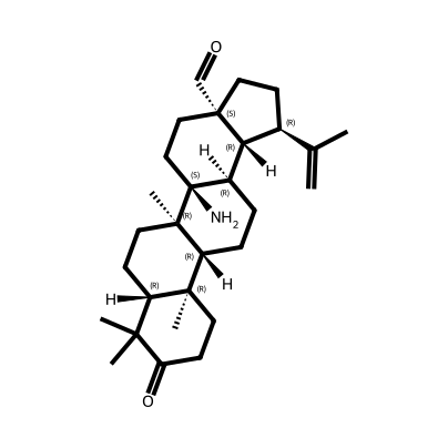 C=C(C)[C@@H]1CC[C@]2(C=O)CC[C@]3(N)[C@H](CC[C@@H]4[C@@]5(C)CCC(=O)C(C)(C)[C@@H]5CC[C@]43C)[C@@H]12